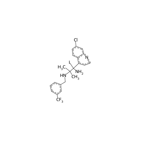 CC(C)(NCc1cccc(C(F)(F)F)c1)C(N)(I)c1ccnc2cc(Cl)ccc12